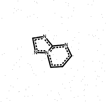 [c]1ccn2ncnc2n1